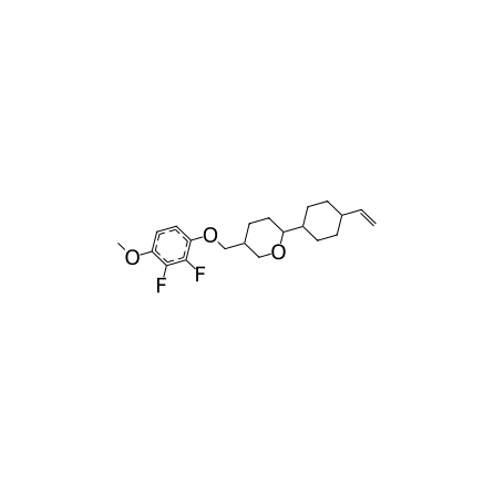 C=CC1CCC(C2CCC(COc3ccc(OC)c(F)c3F)CO2)CC1